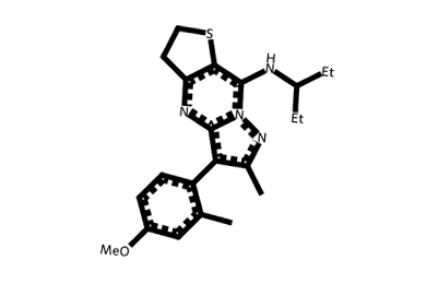 CCC(CC)Nc1c2c(nc3c(-c4ccc(OC)cc4C)c(C)nn13)CCS2